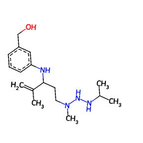 C=C(C)C(CCN(C)NNC(C)C)Nc1cccc(CO)c1